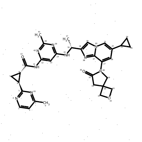 Cc1ccnc([C@H]2C[C@@H]2C(=O)Nc2cc(N[C@H](C)c3cn4cc(C5CC5)cc(N5CC6(COC6)CC5=O)c4n3)nc(C)n2)n1